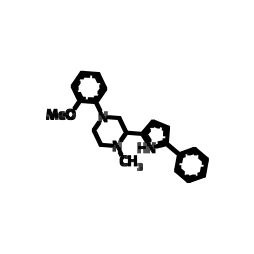 COc1ccccc1N1CCN(C)C(c2ccc(-c3ccccc3)[nH]2)C1